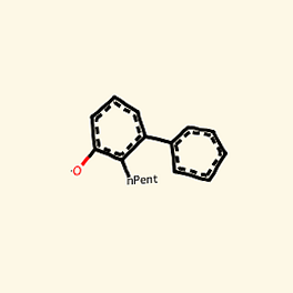 CCCCCc1c([O])cccc1-c1ccccc1